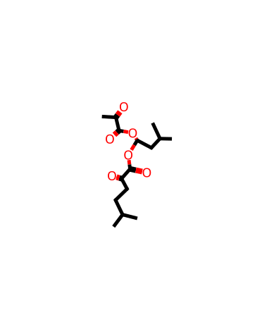 CC(=O)C(=O)OC(CC(C)C)OC(=O)C(=O)CCC(C)C